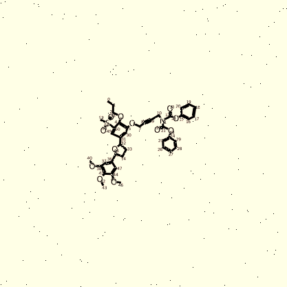 CCCOc1c(OCC#CCN(C(=O)Oc2ccccc2)C(=O)Oc2ccccc2)cc(C2CCC(c3cc(OC)c(OC)c(OC)c3)O2)cc1S(C)(=O)=O